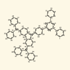 c1ccc(-c2nc(-c3ccccc3)nc(-c3ccc(-n4c5ccc(N(c6ccccc6)c6ccccc6)cc5c5cc(N(c6ccccc6)c6ccccc6)ccc54)cc3)n2)cc1